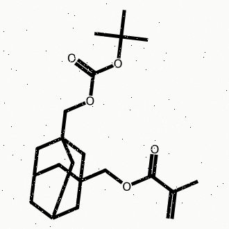 C=C(C)C(=O)OCC12CC3CC(CC(COC(=O)OC(C)(C)C)(C3)C1)C2